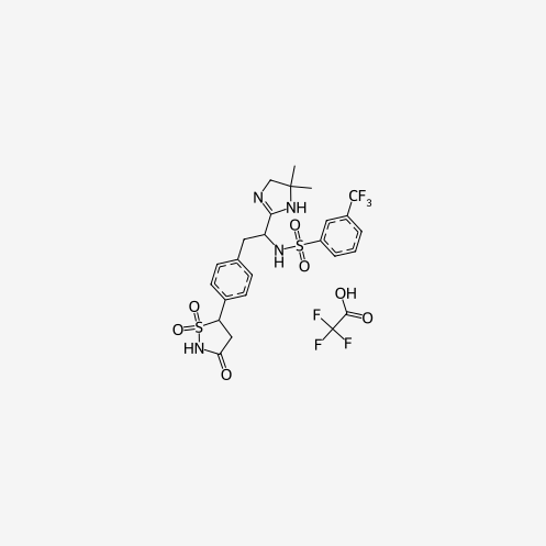 CC1(C)CN=C(C(Cc2ccc(C3CC(=O)NS3(=O)=O)cc2)NS(=O)(=O)c2cccc(C(F)(F)F)c2)N1.O=C(O)C(F)(F)F